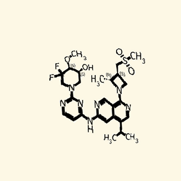 CO[C@H]1[C@@H](O)CN(c2nccc(Nc3cc4c(C(C)C)cnc(N5C[C@H](CS(C)(=O)=O)[C@H]5C)c4cn3)n2)CC1(F)F